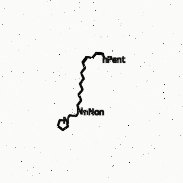 CCCCC/C=C\C/C=C\CCCCCCCCN(CCCCCCCCC)CCN1CCCC1